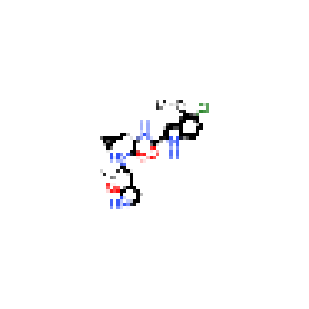 COc1c(Cl)ccc2[nH]c(C(=O)N[C@@H](CC3CC3)C(=O)N[C@H](C#N)CC3CCNC3=O)cc12